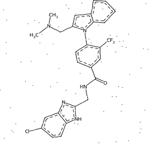 CN(C)Cc1cc2ccccc2n1-c1ccc(C(=O)NCc2nc3cc(Cl)ccc3[nH]2)cc1C(F)(F)F